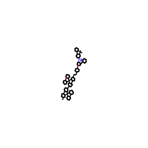 Cc1ccc2c(c1)C1(c3ccccc3-c3ccccc31)c1cc(-c3ccc4c(c3)C3(c5ccccc5-c5ccccc53)c3cc(/C=C/c5ccc(-c6ccc7c(c6)c6ccccc6n7-c6ccc7c(c6)C(C)(C)c6ccccc6-7)cc5)ccc3-4)ccc1-2